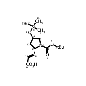 CC(C)(C)OC(=O)N1C[C@H](O[Si](C)(C)C(C)(C)C)C[C@H]1/C=C/C(=O)O